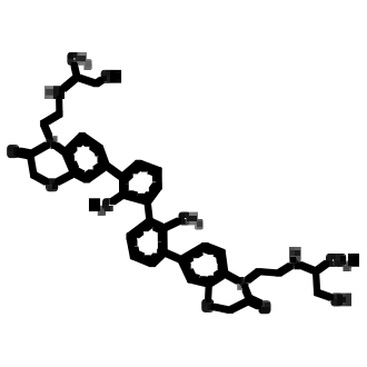 Cc1c(-c2ccc3c(c2)OCC(=O)N3CCNC(C)CO)cccc1-c1cccc(-c2ccc3c(c2)OCC(=O)N3CCNC(CO)C(=O)O)c1C